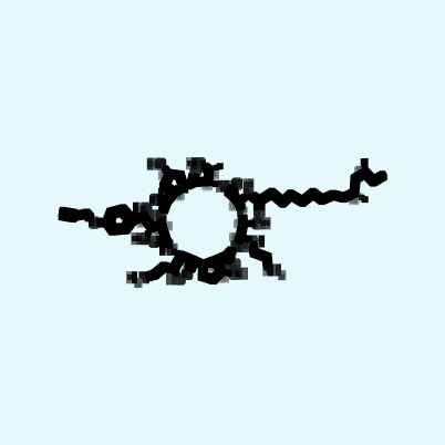 C#CCOc1ccc([C@H](O)[C@@H](O)[C@@H]2NC(=O)[C@@H]3C[C@@H](O)CN3C(=O)[C@H]([C@@H](C)O)NC(=O)[C@@H](NC(=O)CCCCCCCC[C@@H](C)C[C@@H](C)CC)C[C@@H](O)[C@@H](NCCN)NC(=O)[C@@H]3[C@@H](O)CCN3C(=O)[C@H]([C@H](O)CCN)NC2=O)cc1